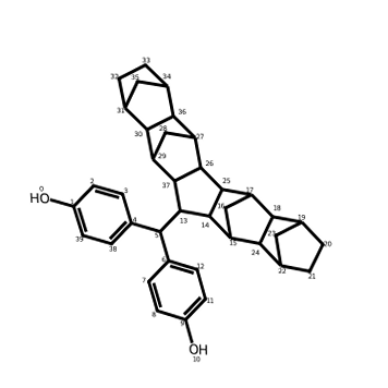 Oc1ccc(C(c2ccc(O)cc2)C2C3C4CC(C5C6CCC(C6)C45)C3C3C4CC(C5C6CCC(C6)C45)C23)cc1